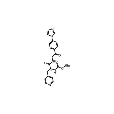 CC(C)(C)OC(=O)N[C@@H](Cc1ccncc1)C(=O)NCC(=O)c1ccc(-n2ccnc2)cc1